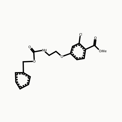 COC(=O)c1ccc(OCCNC(=O)OCc2ccccc2)cc1Cl